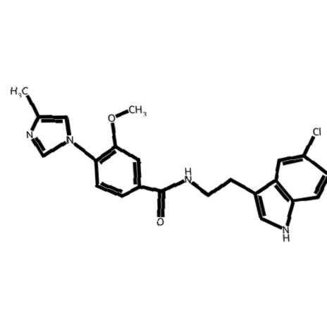 COc1cc(C(=O)NCCc2c[nH]c3ccc(Cl)cc23)ccc1-n1cnc(C)c1